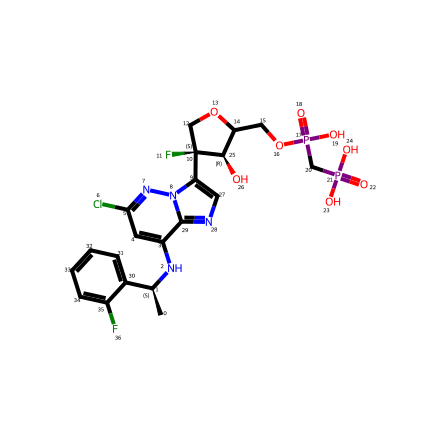 C[C@H](Nc1cc(Cl)nn2c([C@]3(F)COC(COP(=O)(O)CP(=O)(O)O)[C@H]3O)cnc12)c1ccccc1F